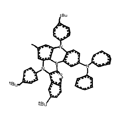 Cc1cc2c3c(c1)N(c1ccc(C(C)(C)C)cc1)c1c(sc4ccc(C(C)(C)C)cc14)B3c1cc(N(c3ccccc3)c3ccccc3)ccc1N2c1ccc(C(C)(C)C)cc1